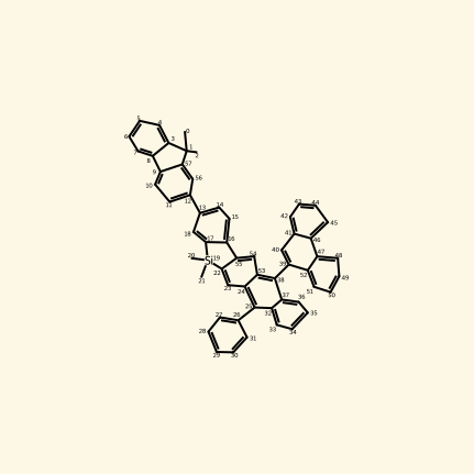 CC1(C)c2ccccc2-c2ccc(-c3ccc4c(c3)[Si](C)(C)c3cc5c(-c6ccccc6)c6ccccc6c(-c6cc7ccccc7c7ccccc67)c5cc3-4)cc21